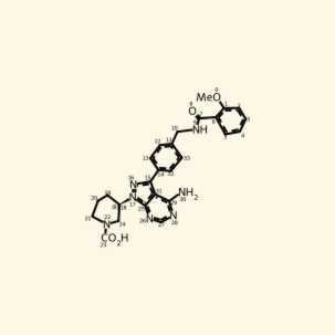 COc1ccccc1C(=O)NCc1ccc(-c2nn([C@@H]3CCCN(C(=O)O)C3)c3ncnc(N)c23)cc1